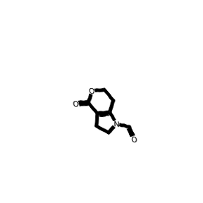 O=CN1CCC2=C1CCOC2=O